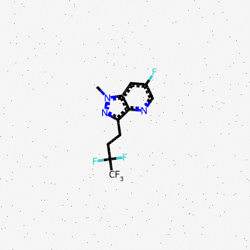 Cn1nc(CCC(F)(F)C(F)(F)F)c2ncc(F)cc21